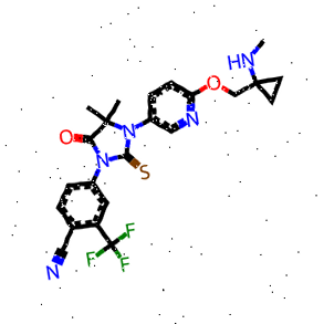 CNC1(COc2ccc(N3C(=S)N(c4ccc(C#N)c(C(F)(F)F)c4)C(=O)C3(C)C)cn2)CC1